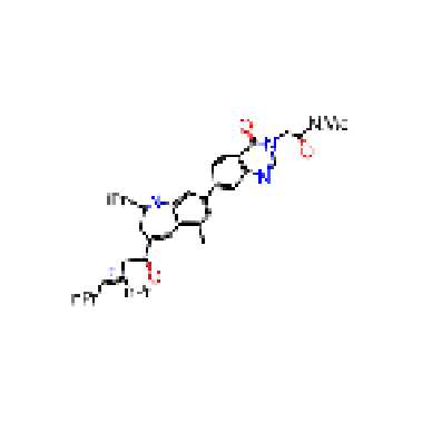 CCC/C=C(\CCC)CC(=O)C1=Cc2c(C)cc(-c3ccc4c(=O)n(CC(=O)NC)cnc4c3)cc2N=C(C(C)C)C1